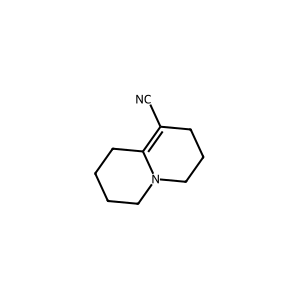 N#CC1=C2CCCCN2CCC1